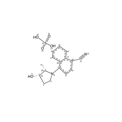 C[C@H]1[C@@H](O)CCN1c1ccc(C#N)c2ccccc12.O=S(=O)(O)O